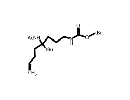 C=CCCC(CCCNC(=O)OC(C)(C)C)(NC(C)=O)C(C)(C)C